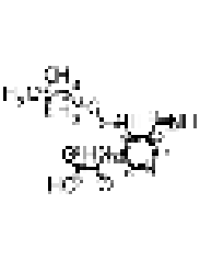 C[Si](C)(C)CCOCNc1c(C=N)cncc1NC(=O)C(=O)O